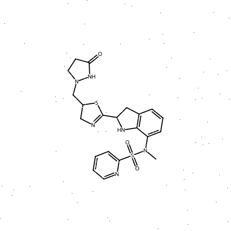 CN(c1cccc2c1NC(C1=NCC(CN3CCC(=O)N3)S1)C2)S(=O)(=O)c1ccccn1